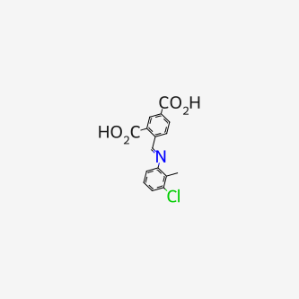 Cc1c(Cl)cccc1/N=C/c1ccc(C(=O)O)cc1C(=O)O